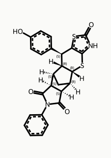 O=C1[C@@H]2[C@H]3C[C@@H]([C@@H]2C(=O)N1c1ccccc1)[C@@H]1[C@@H](c2ccc(O)cc2)c2sc(=O)[nH]c2S[C@H]31